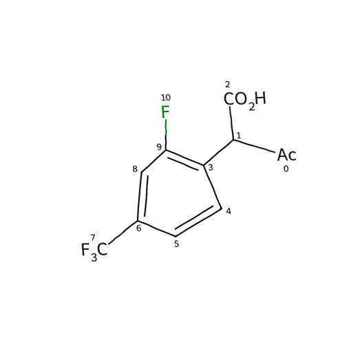 CC(=O)C(C(=O)O)c1ccc(C(F)(F)F)cc1F